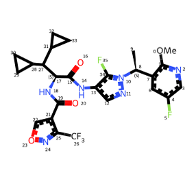 COc1ncc(F)cc1[C@H](C)n1ncc(NC(=O)[C@@H](NC(=O)c2conc2C(F)(F)F)C(C2CC2)C2CC2)c1F